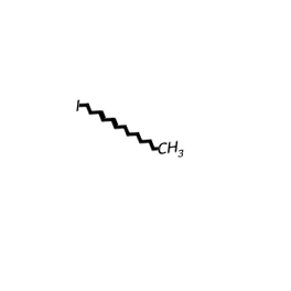 CCCCCCCC=CC=CCCI